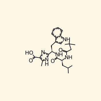 Cc1[nH]c([C@@H](Cc2c[nH]c3ccccc23)NC(=O)[C@H](CC(C)C)NC(=O)CC(C)(C)C)nc1C(=O)O